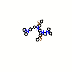 c1ccc2c(c1)sc1c2cc2c3cc4c(cc3n3c5cc(-c6ccc(-n7c8ccccc8c8ccccc87)cc6)ccc5c1c23)c1cc2c3ccccc3sc2c2c3ccc(-n5c6ccccc6c6ccccc65)cc3n4c12